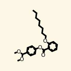 CCCCCCCCOc1ccccc1C(=O)Oc1ccc(C(OC)OC)cc1